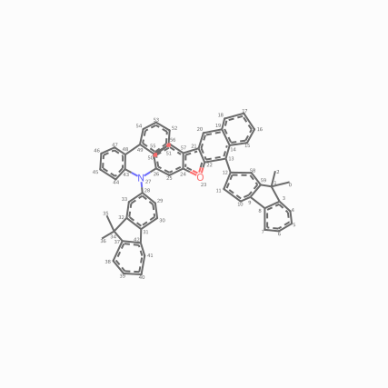 CC1(C)c2ccccc2-c2ccc(-c3c4ccccc4cc4c3oc3cc(N(c5ccc6c(c5)C(C)(C)c5ccccc5-6)c5ccccc5-c5ccccc5)ccc34)cc21